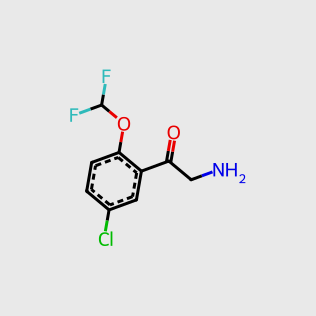 NCC(=O)c1cc(Cl)ccc1OC(F)F